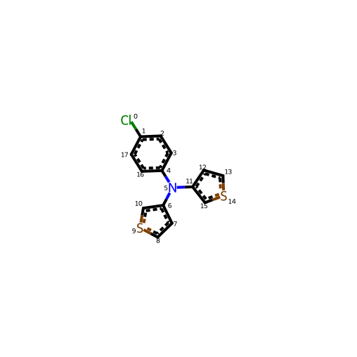 Clc1ccc(N(c2ccsc2)c2ccsc2)cc1